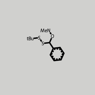 CNOC(SSC(C)(C)C)c1ccccc1